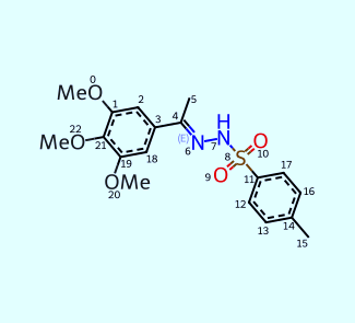 COc1cc(/C(C)=N/NS(=O)(=O)c2ccc(C)cc2)cc(OC)c1OC